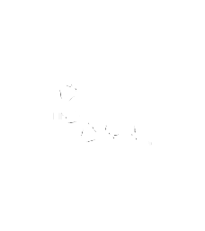 CCCCN(CC)C/C=N/C(=O)c1cccc(C2=CNC(c3cncc(F)c3)S2)n1